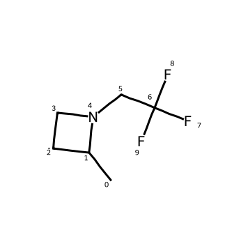 CC1[CH]CN1CC(F)(F)F